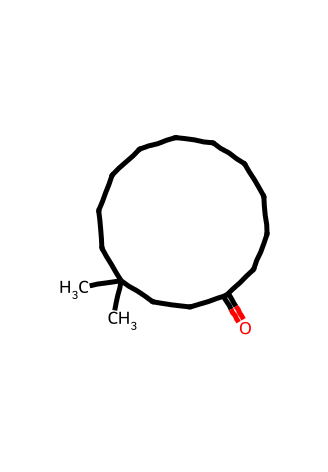 CC1(C)CCCCCCCCCCC(=O)CC1